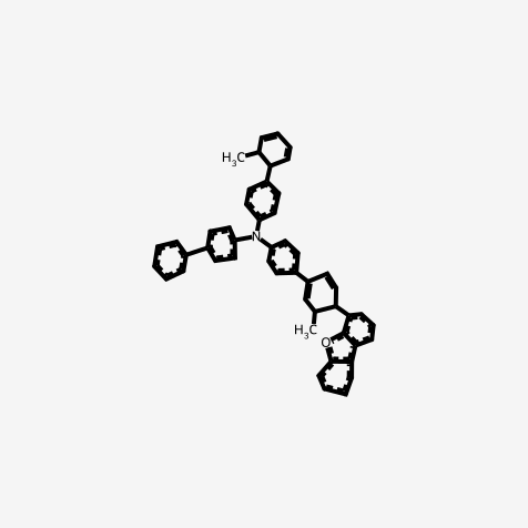 CC1C=CC=CC1c1ccc(N(c2ccc(C3=CC(C)C(c4cccc5c4oc4ccccc45)C=C3)cc2)c2ccc(-c3ccccc3)cc2)cc1